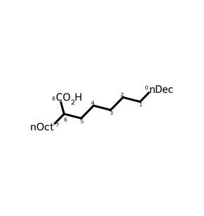 CCCCCCCCCCCCCCCC(CCCCCCCC)C(=O)O